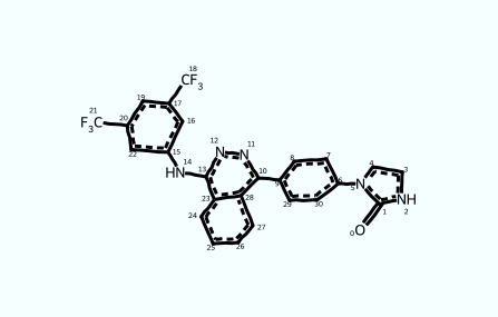 O=c1[nH]ccn1-c1ccc(-c2nnc(Nc3cc(C(F)(F)F)cc(C(F)(F)F)c3)c3ccccc23)cc1